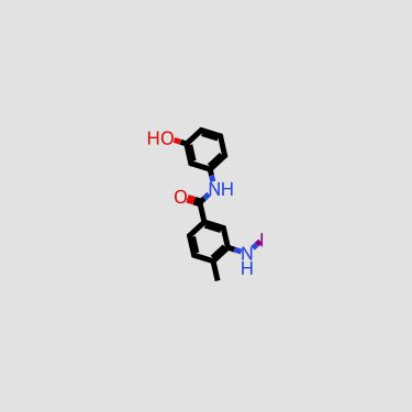 Cc1ccc(C(=O)Nc2cccc(O)c2)cc1NI